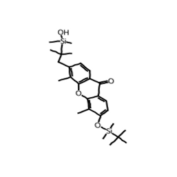 Cc1c(CC(C)(C)[Si](C)(C)O)ccc2c(=O)c3ccc(O[Si](C)(C)C(C)(C)C)c(C)c3oc12